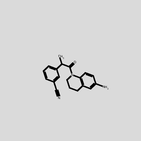 CC(C(=O)N1CCCc2cc(N)ccc21)c1cccc(C#N)c1